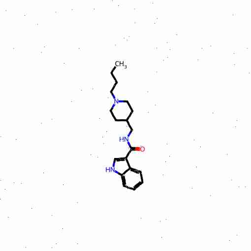 CCCCN1CCC(CNC(=O)c2c[nH]c3ccccc23)CC1